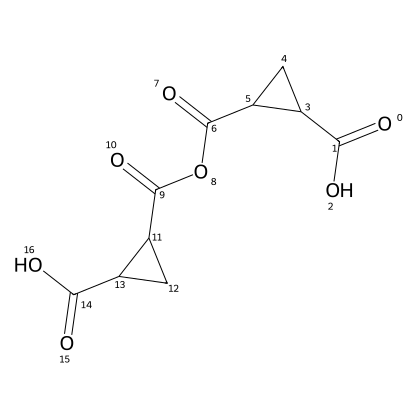 O=C(O)C1CC1C(=O)OC(=O)C1CC1C(=O)O